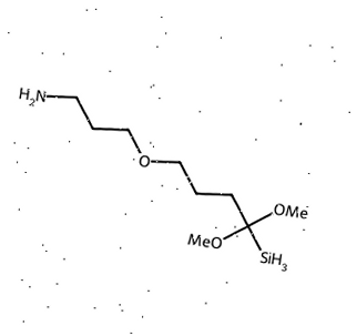 COC([SiH3])(CCCOCCCN)OC